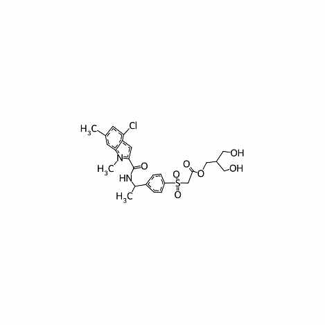 Cc1cc(Cl)c2cc(C(=O)NC(C)c3ccc(S(=O)(=O)CC(=O)OCC(CO)CO)cc3)n(C)c2c1